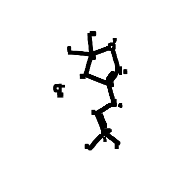 C[N+](C)=CSC1=NOC(C)(C)C1.[Cl-]